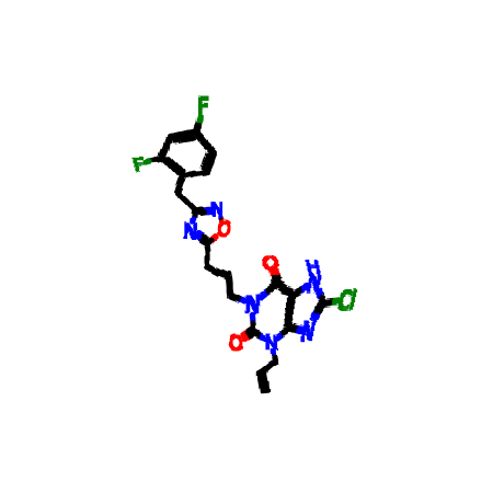 C=CCn1c(=O)n(CCCc2nc(Cc3ccc(F)cc3F)no2)c(=O)c2[nH]c(Cl)nc21